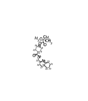 CC(C)(C)C(=O)ON1CCC(C(=O)N=Cc2ccc3ccccc3n2)CC1